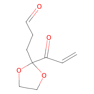 C=CC(=O)C1(CCC=O)OCCO1